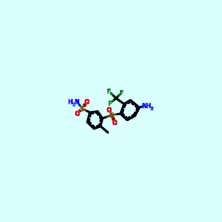 Cc1ccc(S(N)(=O)=O)cc1S(=O)(=O)c1ccc(N)cc1C(F)(F)F